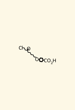 O=C(CCCl)CCCCCCOc1ccc(C(=O)O)cc1